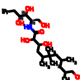 CC(C)C[C@@H](O)[C@@H](O)[C@H](CO)NC(=O)C(O)C(O)CC(C)C(C)(C)CC(C)CC(C)CO